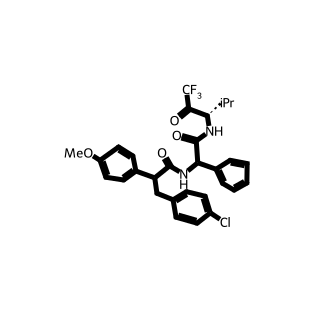 COc1ccc(C(Cc2ccc(Cl)cc2)C(=O)NC(C(=O)N[C@H](C(=O)C(F)(F)F)C(C)C)c2ccccc2)cc1